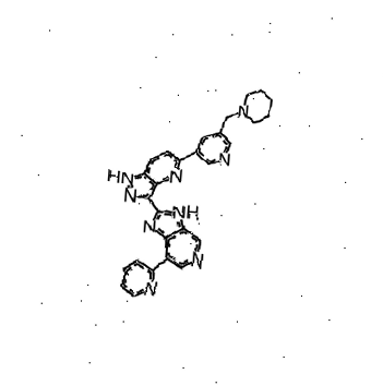 c1ccc(-c2cncc3[nH]c(-c4n[nH]c5ccc(-c6cncc(CN7CCCCC7)c6)nc45)nc23)nc1